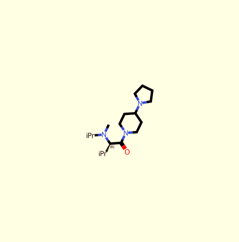 CC(C)[C@H](C(=O)N1CCC(N2CCCC2)CC1)N(C)C(C)C